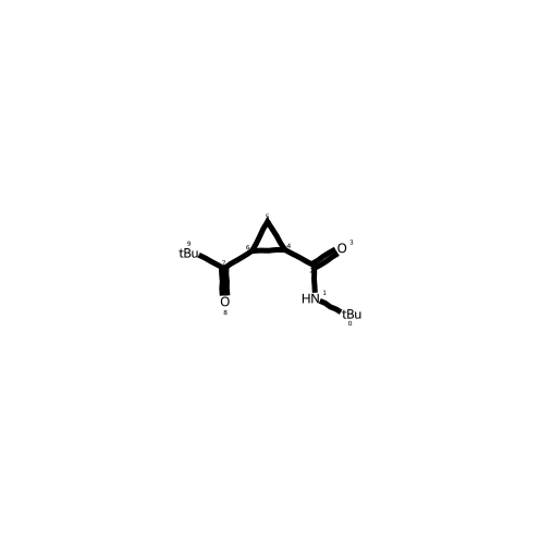 CC(C)(C)NC(=O)C1CC1C(=O)C(C)(C)C